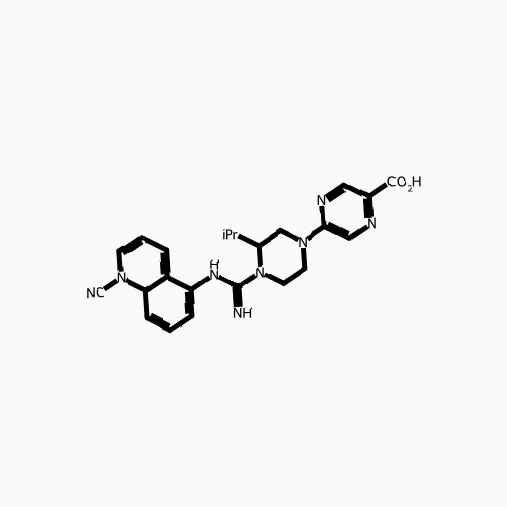 CC(C)C1CN(c2cnc(C(=O)O)cn2)CCN1C(=N)NC1=CC=CC2C1=CC=CN2C#N